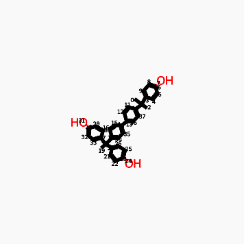 CC(C)(c1ccc(O)cc1)c1ccc(-c2ccc(C(C)(c3ccc(O)cc3)c3ccc(O)cc3)cc2)cc1